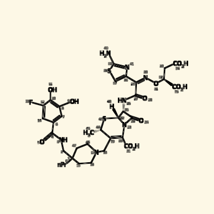 CCCC1(CNC(=O)c2cc(O)c(O)c(F)c2)CCN(CC2=C(C(=O)O)N3C(=O)[C@@H](NC(=O)/C(=N\O[C@@H](CC(=O)O)C(=O)O)c4csc(N)n4)[C@H]3S[C@H]2C)CC1